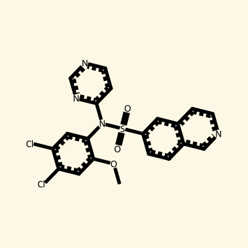 COc1cc(Cl)c(Cl)cc1N(c1ccncn1)S(=O)(=O)c1ccc2cnccc2c1